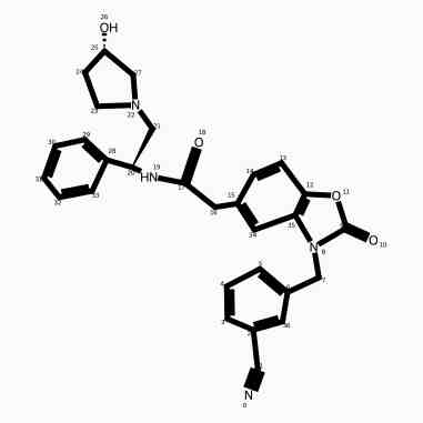 N#Cc1cccc(Cn2c(=O)oc3ccc(CC(=O)N[C@H](CN4CC[C@H](O)C4)c4ccccc4)cc32)c1